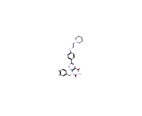 Cn1c(=O)c2nc(-c3ccc(NCCN4CCCCC4)cc3)nnc2n(Cc2ccc(F)c(F)c2)c1=O